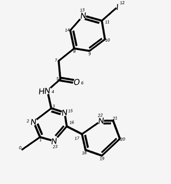 Cc1nc(NC(=O)Cc2ccc(I)nc2)nc(-c2ccccn2)n1